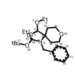 CCOC(OCC)C1(N(Cc2ccccc2)C(=O)OC(C)(C)C)CCOCC1